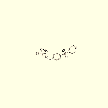 CCC1(OC)CN(Cc2ccc(S(=O)(=O)N3CCOCC3)cc2)C1